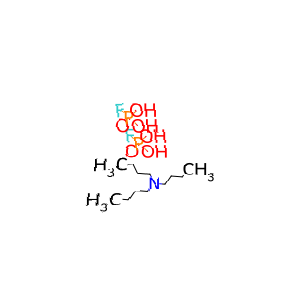 CCCCN(CCCC)CCCC.O=P(O)(O)F.O=P(O)(O)F